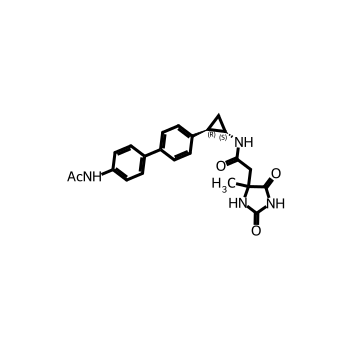 CC(=O)Nc1ccc(-c2ccc([C@H]3C[C@@H]3NC(=O)CC3(C)NC(=O)NC3=O)cc2)cc1